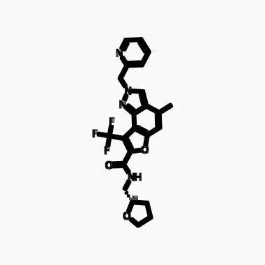 Cc1cc2oc(C(=O)NC[C@@H]3CCCO3)c(C(F)(F)F)c2c2nn(Cc3ccccn3)cc12